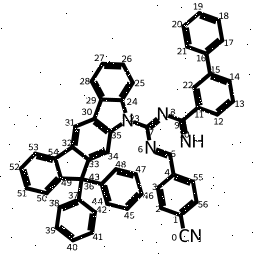 N#Cc1ccc(/C=N/C(=N\C(=N)c2cccc(-c3ccccc3)c2)n2c3ccccc3c3cc4c(cc32)C(c2ccccc2)(c2ccccc2)c2ccccc2-4)cc1